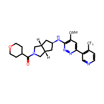 COc1cc(-c2cnccc2C(F)(F)F)nnc1N[C@H]1C[C@@H]2CN(C(=O)C3CCOCC3)C[C@@H]2C1